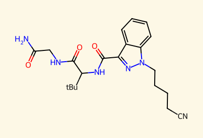 CC(C)(C)C(NC(=O)c1nn(CCCCC#N)c2ccccc12)C(=O)NCC(N)=O